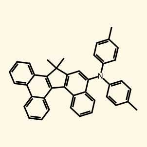 Cc1ccc(N(c2ccc(C)cc2)c2cc3c(c4ccccc24)-c2c(c4ccccc4c4ccccc24)C3(C)C)cc1